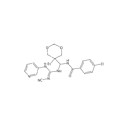 CCC1(C(NC(=O)c2ccc(Cl)cc2)N/C(=N/C#N)Nc2cccnc2)COCOC1